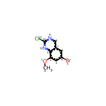 COc1cc(Br)cc2cnc(Cl)nc12